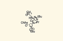 COC(=O)[C@@H]1C[C@H](N(CC(C)C)C(=O)c2cnc(C(C)(C)C)nc2NCCC[S+](C)[O-])CN(C(=O)OC(C)(C)C)C1